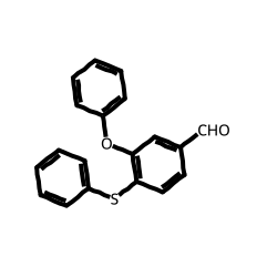 O=Cc1ccc(Sc2ccccc2)c(Oc2ccccc2)c1